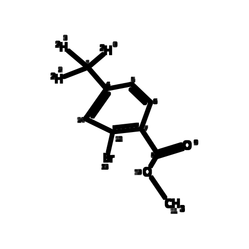 [2H]C([2H])([2H])c1ccc(C(=O)OC)c(Br)c1